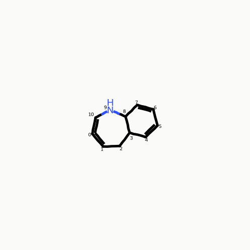 C1=CCC2C=CC=CC2NC=1